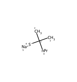 CCCC(C)(C)[S-].[Na+]